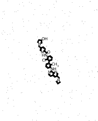 Cc1c(Nc2nccc3cc(CN4CCC4)cnc23)cccc1-c1cccc(NC(=O)c2ccc(CN3CC[C@@H](O)C3)cn2)c1Cl